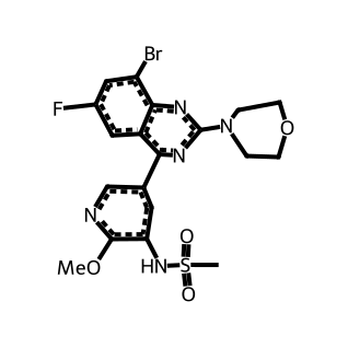 COc1ncc(-c2nc(N3CCOCC3)nc3c(Br)cc(F)cc23)cc1NS(C)(=O)=O